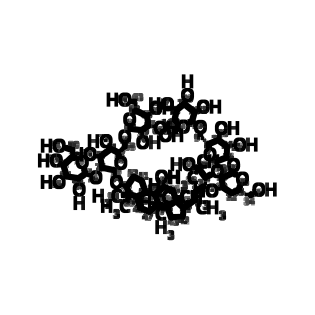 CC(CC[C@@H](O[C@@H]1O[C@H](CO[C@@H]2O[C@H](CO)[C@@H](O)[C@H](O)[C@H]2O)[C@@H](O)[C@H](O)[C@H]1OC1C[C@@H](O)C[C@@H](CO)O1)C(C)(C)O)C1CC[C@@]2(C)[C@@H]3CC=C4[C@@H](CC[C@H](O[C@@H]5O[C@H](CO[C@@H]6O[C@H](CO)[C@@H](O)[C@H](O)[C@H]6O)[C@@H](O)[C@H](O)[C@H]5O[C@@H]5O[C@H](CO)[C@@H](O)[C@H](O)[C@H]5O)C4(C)C)[C@]3(C)[C@@H](O)C[C@]12C